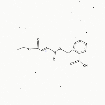 CCOC(=O)/C=C/C(=O)OCc1ccccc1C(=O)O